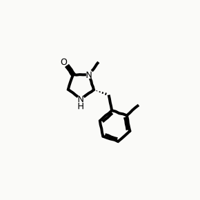 Cc1ccccc1C[C@@H]1NCC(=O)N1C